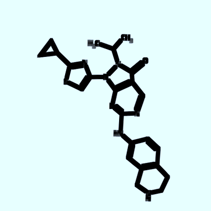 CC(C)n1c(=O)c2cnc(Nc3ccc4c(c3)CNCC4)nc2n1-c1csc(C2CC2)n1